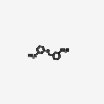 O=C(O)c1cccc(COc2cccc(C(=O)O)c2)c1